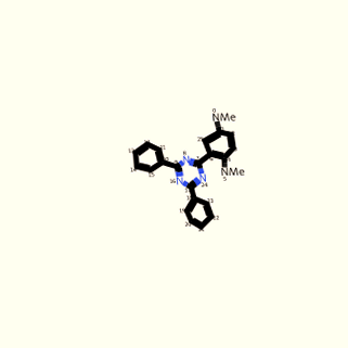 CNc1ccc(NC)c(-c2nc(-c3ccccc3)nc(-c3ccccc3)n2)c1